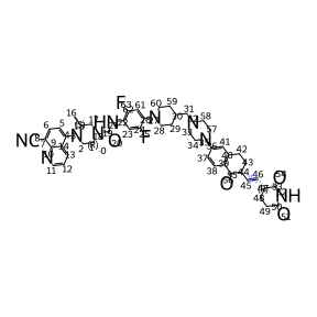 C[C@@H]1CN(c2ccc(C#N)c3ncccc23)[C@@H](C)CN1C(=O)Nc1cc(F)c(N2CCC(CN3CCN(c4ccc5c(c4)CCC(/C=C/[C@H]4CCC(=O)NC4=O)C5=O)CC3)CC2)cc1F